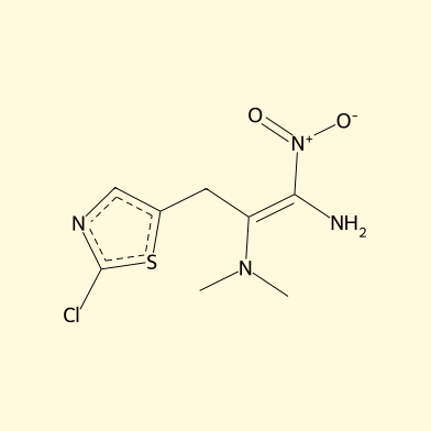 CN(C)C(Cc1cnc(Cl)s1)=C(N)[N+](=O)[O-]